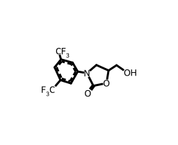 O=C1OC(CO)CN1c1cc(C(F)(F)F)cc(C(F)(F)F)c1